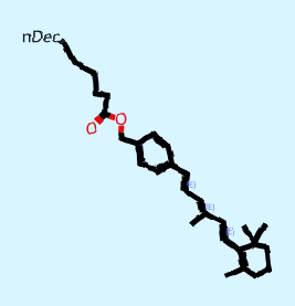 CCCCCCCCCCCCCCCC(=O)OCc1ccc(/C=C/C=C(C)/C=C/C2=C(C)CCCC2(C)C)cc1